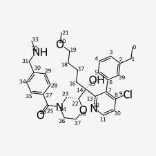 CCc1cccc(-c2c(Cl)ccnc2[C@](O)(CCCCOC)[C@H]2CN(C(=O)c3ccc(CNC)cc3)CCO2)c1